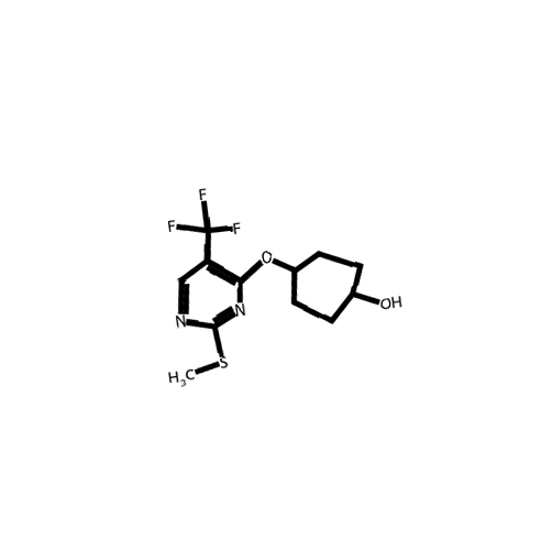 CSc1ncc(C(F)(F)F)c(OC2CCC(O)CC2)n1